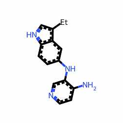 CCc1c[nH]c2ccc(Nc3cnccc3N)cc12